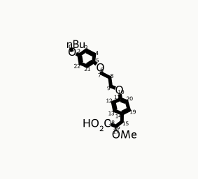 CCCCOc1ccc(OCCCOc2ccc(C[C@H](OC)C(=O)O)cc2)cc1